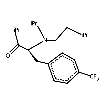 CC(C)CCN(C(C)C)[C@@H](Cc1ccc(C(F)(F)F)cc1)C(=O)C(C)C